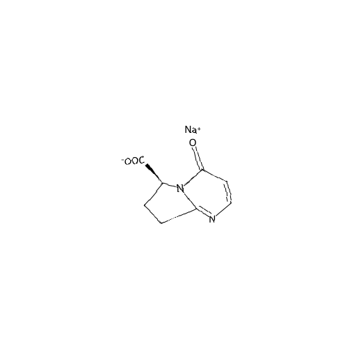 O=C([O-])[C@@H]1CCc2nccc(=O)n21.[Na+]